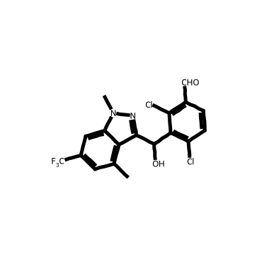 Cc1cc(C(F)(F)F)cc2c1c(C(O)c1c(Cl)ccc(C=O)c1Cl)nn2C